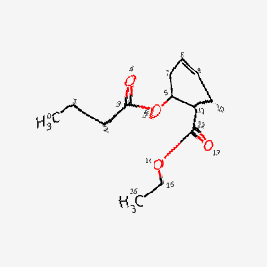 CCCC(=O)OC1CC=CCC1C(=O)OCC